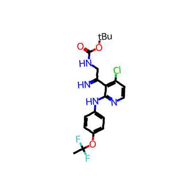 CC(C)(C)OC(=O)NCC(=N)c1c(Cl)ccnc1Nc1ccc(OC(C)(F)F)cc1